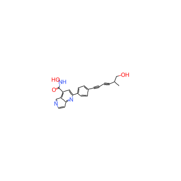 CC(C#CC#Cc1ccc(-c2cc(C(=O)NO)c3cnccc3n2)cc1)CO